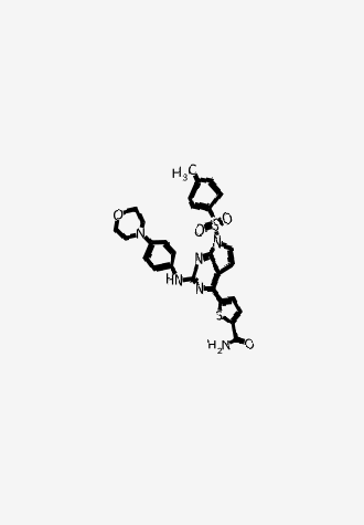 Cc1ccc(S(=O)(=O)n2ccc3c(-c4ccc(C(N)=O)s4)nc(Nc4ccc(N5CCOCC5)cc4)nc32)cc1